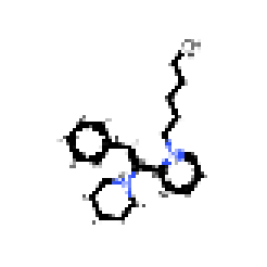 CCCCCC[n+]1ccccc1C(=Cc1ccccc1)N1CCCCC1